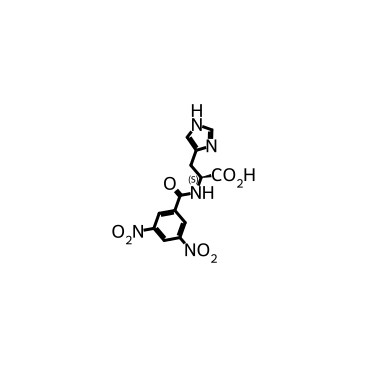 O=C(N[C@@H](Cc1c[nH]cn1)C(=O)O)c1cc([N+](=O)[O-])cc([N+](=O)[O-])c1